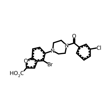 O=C(O)c1cc2c(Br)c(N3CCN(C(=O)c4cccc(Cl)c4)CC3)ccc2o1